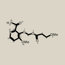 COCCC(=O)OCOc1c(OC)ccnc1C(N)=O